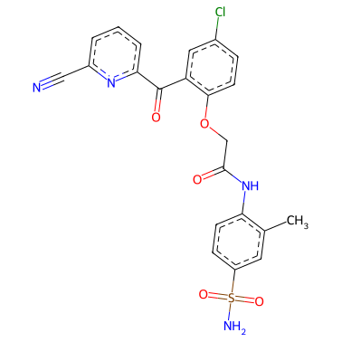 Cc1cc(S(N)(=O)=O)ccc1NC(=O)COc1ccc(Cl)cc1C(=O)c1cccc(C#N)n1